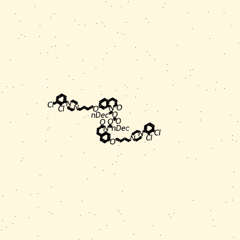 CCCCCCCCCCC(OC(=O)OC(CCCCCCCCCC)N1C(=O)CCc2ccc(OCCCCN3CCN(c4cccc(Cl)c4Cl)CC3)cc21)N1C(=O)CCc2ccc(OCCCCN3CCN(c4cccc(Cl)c4Cl)CC3)cc21